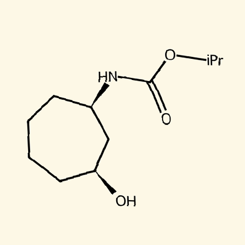 CC(C)OC(=O)N[C@@H]1CCCC[C@H](O)C1